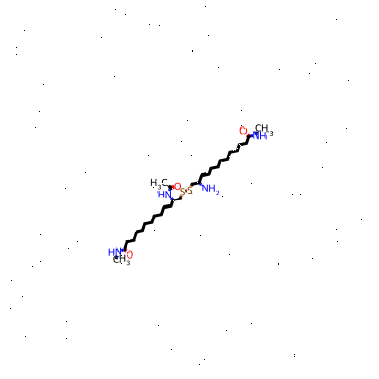 CNC(=O)CCCCCCCC/C=C/C(N)CSSC[C@@H](/C=C/CCCCCCCCC(=O)NC)NC(C)=O